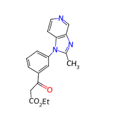 CCOC(=O)CC(=O)c1cccc(-n2c(C)nc3cnccc32)c1